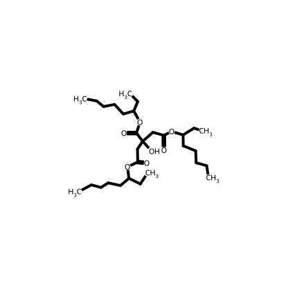 CCCCCC(CC)OC(=O)CC(O)(CC(=O)OC(CC)CCCCC)C(=O)OC(CC)CCCCC